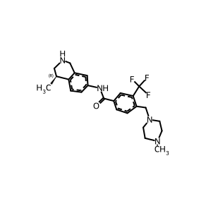 C[C@H]1CNCc2cc(NC(=O)c3ccc(CN4CCN(C)CC4)c(C(F)(F)F)c3)ccc21